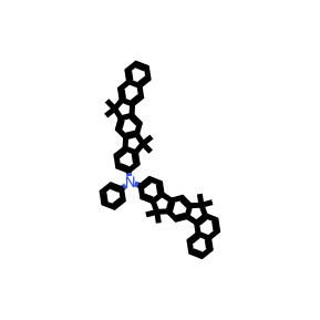 CC1(C)c2cc(N(c3ccccc3)c3ccc4c(c3)C(C)(C)c3cc5c(cc3-4)C(C)(C)c3ccc4ccccc4c3-5)ccc2-c2cc3c(cc21)-c1cc2ccccc2cc1C3(C)C